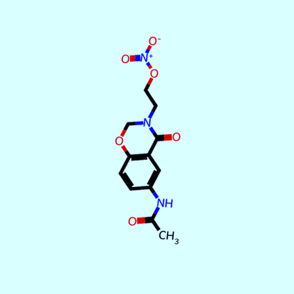 CC(=O)Nc1ccc2c(c1)C(=O)N(CCO[N+](=O)[O-])CO2